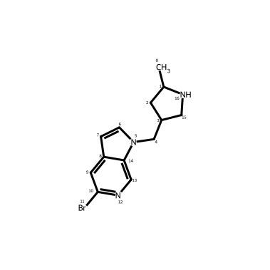 CC1CC(Cn2ccc3cc(Br)ncc32)CN1